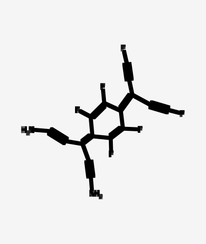 NC#CC(C#CN)=c1c(F)c(F)c(=C(C#CF)C#CF)c(F)c1F